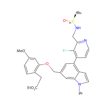 CCOC(=O)Cc1ccc(OC)cc1OCc1cc(-c2ccnc(CN[S@@+]([O-])C(C)(C)C)c2F)c2ccn(C(C)C)c2c1